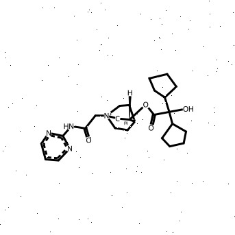 O=C(C[N+]12CCC(CC1)[C@@H](OC(=O)C(O)(C1CCCC1)C1CCCC1)C2)Nc1ncccn1